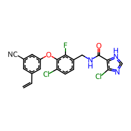 C=Cc1cc(C#N)cc(Oc2c(Cl)ccc(CNC(=O)c3[nH]cnc3Cl)c2F)c1